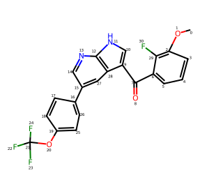 COc1cccc(C(=O)c2c[nH]c3ncc(-c4ccc(OC(F)(F)F)cc4)cc23)c1F